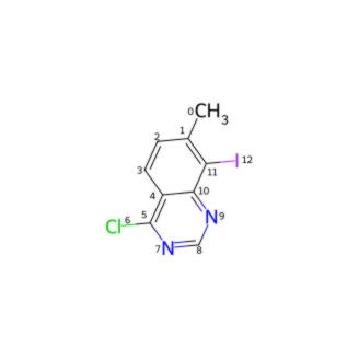 Cc1ccc2c(Cl)ncnc2c1I